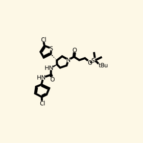 CC(C)(C)[Si](C)(C)OCCC(=O)N1CC[C@@H](NC(=O)Nc2ccc(Cl)cc2)[C@H](c2ccc(Cl)s2)C1